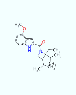 CCC1(C(C)C)C(C(C)C)CN1C(=O)c1cc2c(OC)cccc2[nH]1